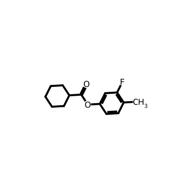 Cc1ccc(OC(=O)C2CCCCC2)cc1F